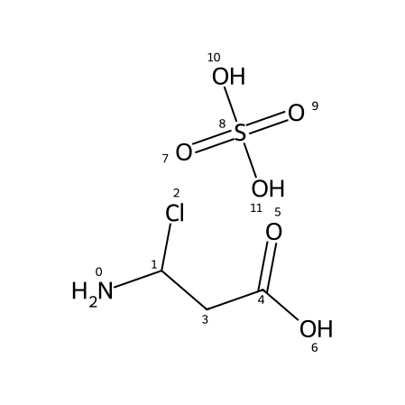 NC(Cl)CC(=O)O.O=S(=O)(O)O